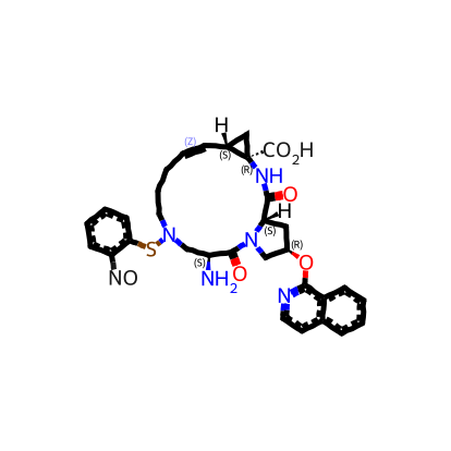 N[C@H]1CN(Sc2ccccc2N=O)CCC/C=C\[C@@H]2C[C@@]2(C(=O)O)NC(=O)[C@@H]2C[C@@H](Oc3nccc4ccccc34)CN2C1=O